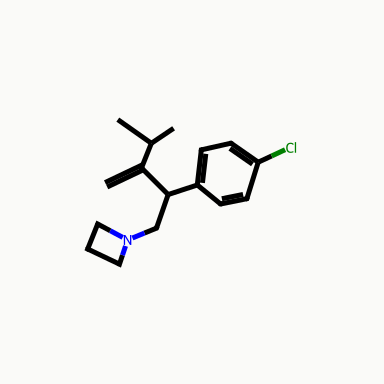 C=C(C(C)C)C(CN1CCC1)c1ccc(Cl)cc1